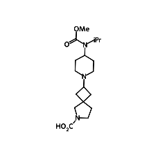 COC(=O)N(C(C)C)C1CCN(C2CC3(CCN(C(=O)O)C3)C2)CC1